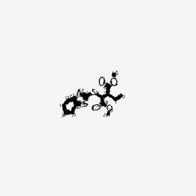 CCC(C(=O)OC)C(Sc1nc2ccccc2s1)C(=O)OC